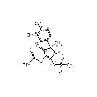 CC(=O)OC1=C(NS(C)(=O)=O)OC(C)(c2ccc(Cl)c(Cl)c2)C1=O